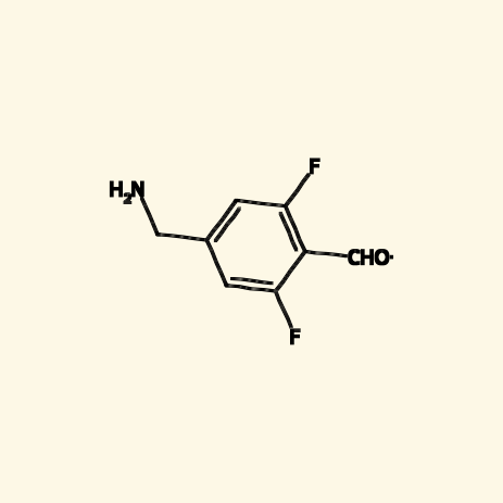 NCc1cc(F)c([C]=O)c(F)c1